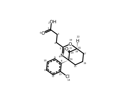 O=C(O)CCC1=N[C@]2(c3ccccc3Cl)CCC[C@H](O1)C2=O